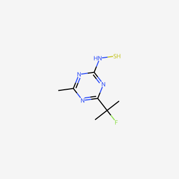 Cc1nc(NS)nc(C(C)(C)F)n1